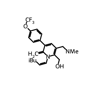 C=C1C(c2ccc(OC(F)(F)F)cc2)=CC(CNC)=C(CO)N1/C=C\C(C)CC